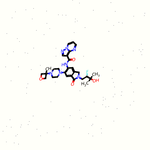 CC(C)(O)[C@H](F)CN1Cc2cc(NC(=O)c3cnn4cccnc34)c(N3CCN(C4(C)COC4)CC3)cc2C1=O